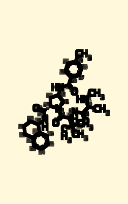 CN[C@@H](C)C(=O)N[C@H](C(=O)N1C[C@H](NC(=O)c2ccc(C)cc2)C[C@H]1C(=O)N[C@@H]1CCCc2ccccc21)C(C)(C)C